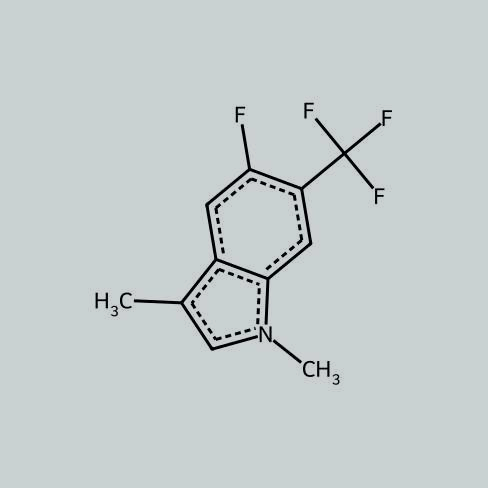 Cc1cn(C)c2cc(C(F)(F)F)c(F)cc12